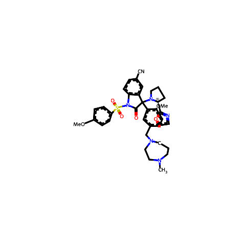 COc1ccc(S(=O)(=O)N2C(=O)C(c3cc(CN4CCCN(C)CC4)ccc3OC)(N3CCC[C@H]3c3ncco3)c3cc(C#N)ccc32)cc1